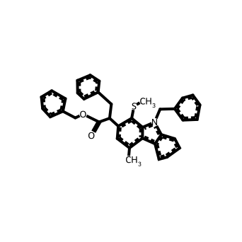 CSc1c(C(Cc2ccccc2)C(=O)OCc2ccccc2)cc(C)c2c3ccccc3n(Cc3ccccc3)c12